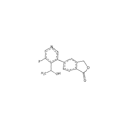 CC(O)c1c(F)cncc1-c1ccc2c(c1)COC2=O